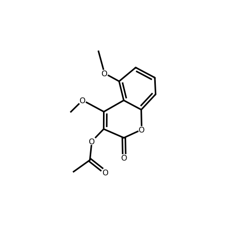 COc1cccc2oc(=O)c(OC(C)=O)c(OC)c12